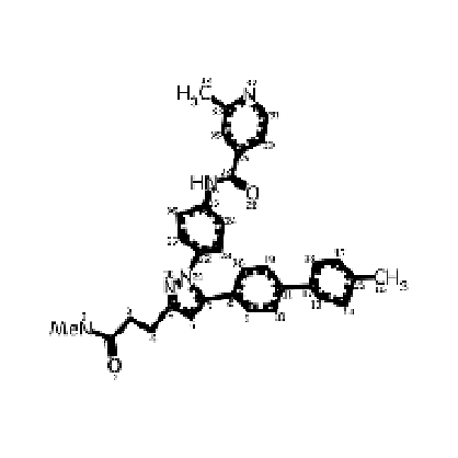 CNC(=O)CCc1cc(-c2ccc(-c3ccc(C)cc3)cc2)n(-c2ccc(NC(=O)c3ccnc(C)c3)cc2)n1